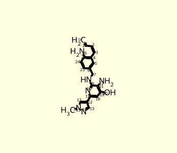 C=C/C=C\c1cc(CNc2nc(-c3cnn(C)c3)cc(O)c2N)ccc1N